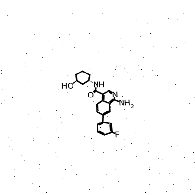 Nc1ncc(C(=O)N[C@H]2CCC[C@H](O)C2)c2ccc(-c3cccc(F)c3)cc12